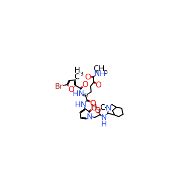 CNC(=O)C(=O)CC[C@H](NC(=O)c1oc(Br)cc1C)C(=O)Nc1cccn(CC(=O)NC2C3CCCC(C3)CN2C)c1=O